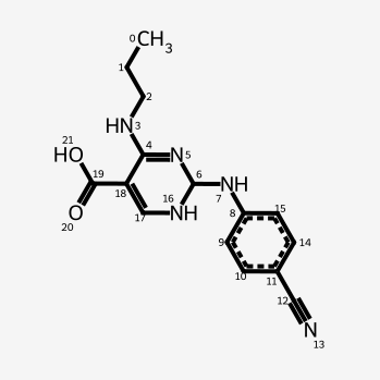 CCCNC1=NC(Nc2ccc(C#N)cc2)NC=C1C(=O)O